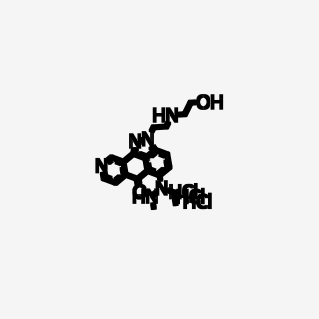 CCN(NC)c1ccc2c3c(nn2CCNCCO)-c2cnccc2C(=O)c13.Cl.Cl.Cl